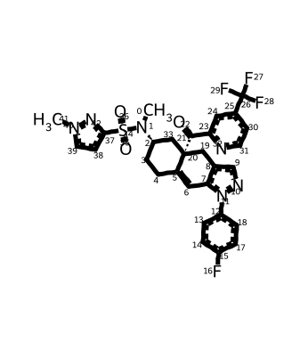 CN([C@H]1CCC2=Cc3c(cnn3-c3ccc(F)cc3)C[C@]2(C(=O)c2cc(C(F)(F)F)ccn2)C1)S(=O)(=O)c1ccn(C)n1